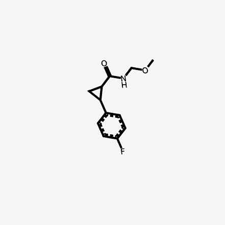 COCNC(=O)C1CC1c1ccc(F)cc1